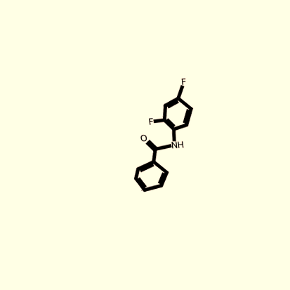 O=C(Nc1ccc(F)cc1F)c1cc[c]cc1